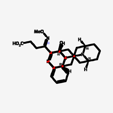 CO/N=C(\CCC(=O)O)c1nc2ccccc2n(C2C[C@H]3CCC[C@@H](C2)N3C2C[C@H]3CCC[C@@H](C2)C3)c1=O